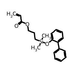 C=CC(=O)OCCC[Si](C)(C)Oc1ccccc1-c1ccccc1